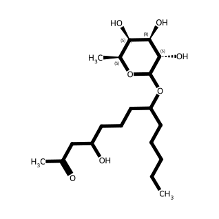 CCCCCC(CCCC(O)CC(C)=O)OC1O[C@@H](C)[C@@H](O)[C@@H](O)[C@@H]1O